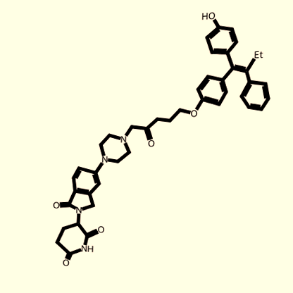 CCC(=C(c1ccc(O)cc1)c1ccc(OCCCC(=O)CN2CCN(c3ccc4c(c3)CN(C3CCC(=O)NC3=O)C4=O)CC2)cc1)c1ccccc1